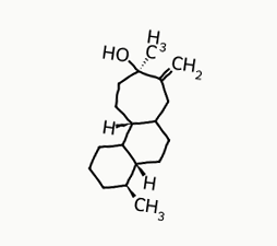 C=C1CC2CC[C@H]3C(CCC[C@@H]3C)[C@@H]2CC[C@@]1(C)O